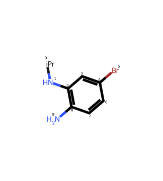 CC(C)Nc1cc(Br)ccc1N